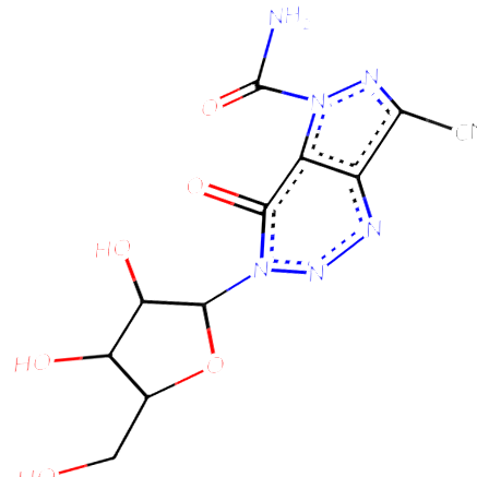 N#Cc1nn(C(N)=O)c2c(=O)n(C3OC(CO)C(O)C3O)nnc12